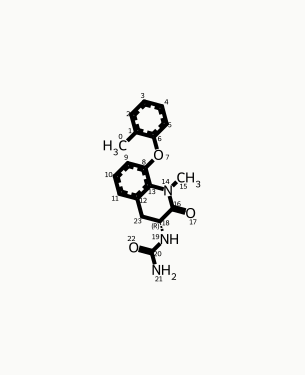 Cc1ccccc1Oc1cccc2c1N(C)C(=O)[C@H](NC(N)=O)C2